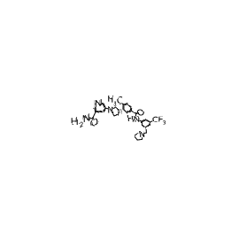 Cc1ccc(C(=O)Nc2cc(CN3CCCC3)cc(C(F)(F)F)c2)cc1[C@@H]1CCN(c2cncc(C(N)=O)c2)C1